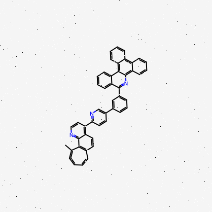 CC1=C=CC=Cc2ccc3c(-c4ccc(-c5cccc(-c6nc7c8ccccc8c8ccccc8c7c7ccccc67)c5)cn4)ccnc3c21